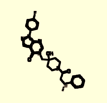 C[C@H](CC(=O)N1CCC(O)(Cn2cnc3c(cnn3-c3ccc(F)cc3)c2=O)CC1)c1ccccc1